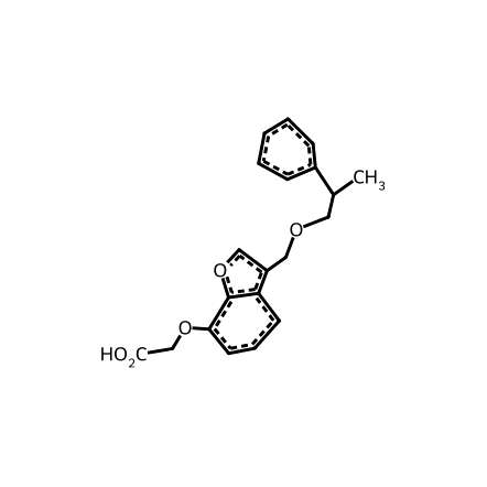 CC(COCc1coc2c(OCC(=O)O)cccc12)c1ccccc1